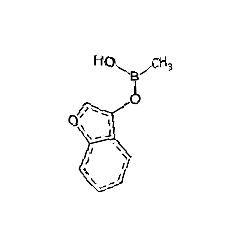 CB(O)Oc1coc2ccccc12